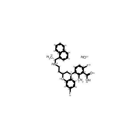 Cc1c(N2CC(CCN[C@H](C)c3cccc4ccccc34)Oc3cc(F)ccc32)ccc(F)c1C(=O)O.Cl